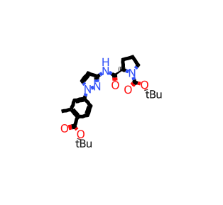 Cc1cc(-n2ccc(NC(=O)[C@H]3CCCN3C(=O)OC(C)(C)C)n2)ccc1C(=O)OC(C)(C)C